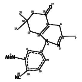 CNc1cc(N2N=C(C)CC3=C2CC(C)(C)CC3=O)ccc1C#N